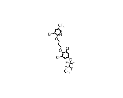 FC(OC(F)(F)F)C(F)(F)Oc1cc(Cl)c(OCCCOc2ncc(C(F)(F)F)cc2Br)c(Cl)c1